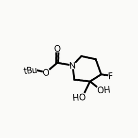 CC(C)(C)OC(=O)N1CCC(F)C(O)(O)C1